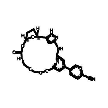 N#Cc1ccc(-c2cc3nc(c2)Nc2cc([nH]n2)[C@H]2CC[C@H](C2)OC(=O)NCCCOC3)cn1